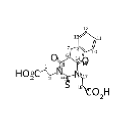 O=C(O)CCN1C(=O)C(Cc2ccccc2)C(=O)N(CCC(=O)O)C1=S